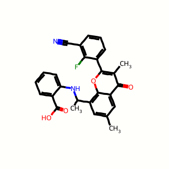 Cc1cc(C(C)Nc2ccccc2C(=O)O)c2oc(-c3cccc(C#N)c3F)c(C)c(=O)c2c1